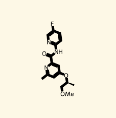 COC[C@H](C)Oc1cc(C)nc(C(=O)Nc2ccc(F)cn2)c1